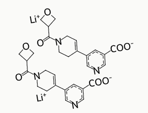 O=C([O-])c1cncc(C2=CCN(C(=O)C3COC3)CC2)c1.O=C([O-])c1cncc(C2=CCN(C(=O)C3COC3)CC2)c1.[Li+].[Li+]